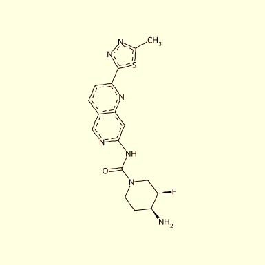 Cc1nnc(-c2ccc3cnc(NC(=O)N4CC[C@H](N)[C@H](F)C4)cc3n2)s1